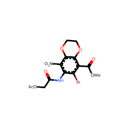 COC(=O)c1c(Br)c(NC(=O)COC(C)=O)c([N+](=O)[O-])c2c1OCCO2